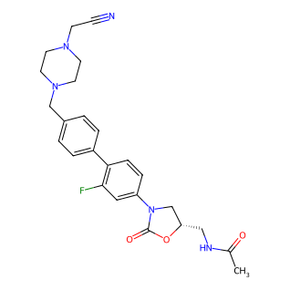 CC(=O)NC[C@H]1CN(c2ccc(-c3ccc(CN4CCN(CC#N)CC4)cc3)c(F)c2)C(=O)O1